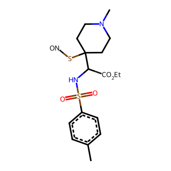 CCOC(=O)C(NS(=O)(=O)c1ccc(C)cc1)C1(SN=O)CCN(C)CC1